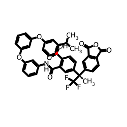 CC(C)c1cccc(Oc2cccc(Oc3cccc(NC(=O)c4cc([C@](C)(c5ccc6c(c5)C(=O)OC6=O)C(F)(F)F)ccc4C(=O)O)c3)c2)c1